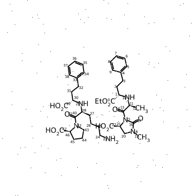 CCOC(=O)[C@H](CCc1ccccc1)N[C@@H](C)C(=O)N1C(=O)N(C)C[C@H]1C(=O)O.NCCCC[C@H](N[C@@H](CCc1ccccc1)C(=O)O)C(=O)N1CCC[C@H]1C(=O)O